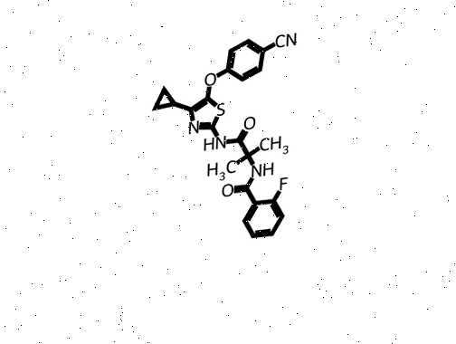 CC(C)(NC(=O)c1ccccc1F)C(=O)Nc1nc(C2CC2)c(Oc2ccc(C#N)cc2)s1